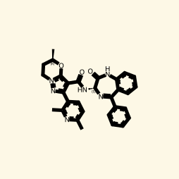 Cc1ccc(-c2nn3c(c2C(=O)N[C@H]2N=C(c4ccccc4)c4ccccc4NC2=O)O[C@H](C)CC3)c(C)n1